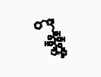 O=C(NCCc1cc(Cc2ccccc2)cs1)[C@H](O)[C@@H](O)C(=O)N1CCC[C@@H]1c1nccs1